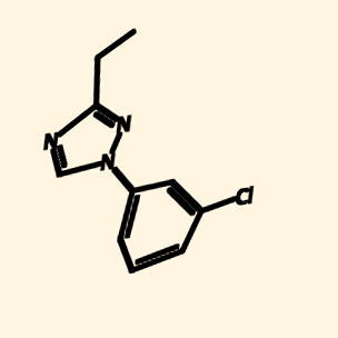 CCc1ncn(-c2cccc(Cl)c2)n1